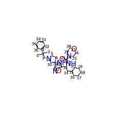 CC(C)(CN1CCC(C#N)(NC(=O)C(CC2CCCCC2)NC(=O)N2CCOCC2)C1)c1ccccc1